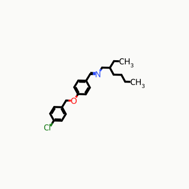 CCCCC(CC)C/N=C/c1ccc(OCc2ccc(Cl)cc2)cc1